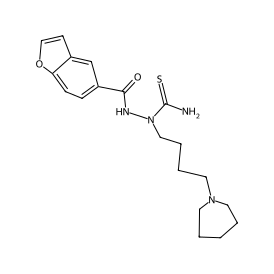 NC(=S)N(CCCCN1CCCCC1)NC(=O)c1ccc2occc2c1